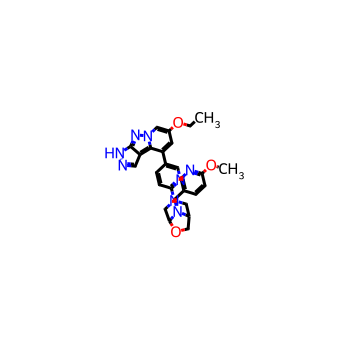 CCOc1cc(-c2ccc(N3CC4COC(C3)N4Cc3ccc(OC)nc3)nc2)c2c3cn[nH]c3nn2c1